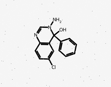 NN1C=Nc2ccc(Cl)cc2C1(O)c1ccccc1